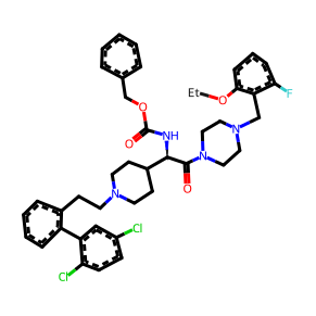 CCOc1cccc(F)c1CN1CCN(C(=O)[C@H](NC(=O)OCc2ccccc2)C2CCN(CCc3ccccc3-c3cc(Cl)ccc3Cl)CC2)CC1